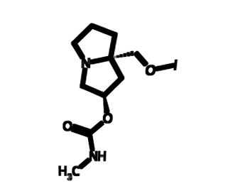 CNC(=O)O[C@H]1CN2CCC[C@@]2(COI)C1